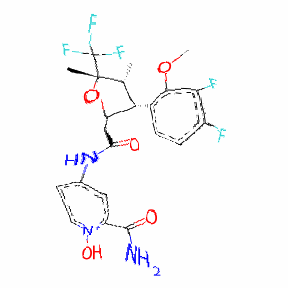 COc1c([C@@H]2[C@@H](C(=O)Nc3cc[n+](O)c(C(N)=O)c3)O[C@](C)(C(F)(F)F)[C@@H]2C)ccc(F)c1F